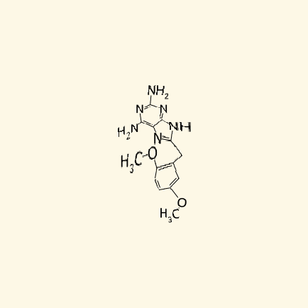 COc1ccc(OC)c(Cc2nc3c(N)nc(N)nc3[nH]2)c1